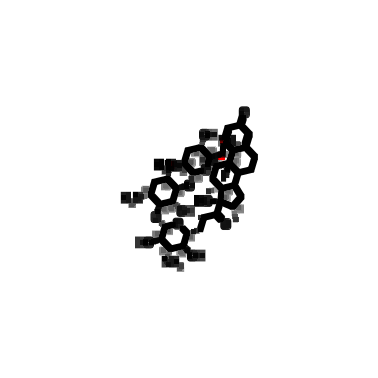 C[C@H]1CC2C3CCC4=CC(=O)C=C[C@]4(C)[C@@]3(F)[C@@H](O)C[C@]2(C)[C@@]1(O)C(=O)[CH]C[C@H]1O[C@@H](O[C@@H]2[C@@H](O)[C@H](O[C@H]3O[C@H](CN)[C@@H](O)C[C@H]3N)[C@@H](N)C[C@H]2N)[C@H](O)[C@@H](N)[C@@H]1O